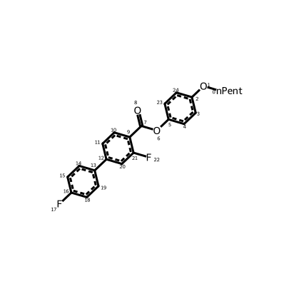 CCCCCOc1ccc(OC(=O)c2ccc(-c3ccc(F)cc3)cc2F)cc1